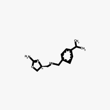 CC(C)c1ccc(CNC[C@H]2COC(N)=N2)cc1